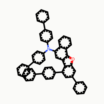 c1ccc(-c2ccc(-c3cc(-c4ccccc4)cc4oc5c6ccccc6c(N(c6ccc(-c7ccccc7)cc6)c6ccc(-c7ccccc7)cc6)cc5c34)cc2)cc1